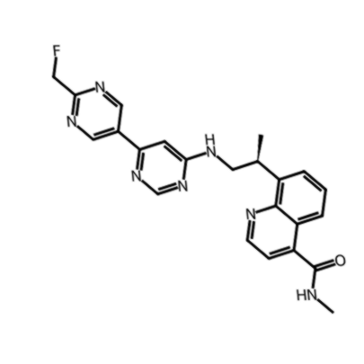 CNC(=O)c1ccnc2c([C@H](C)CNc3cc(-c4cnc(CF)nc4)ncn3)cccc12